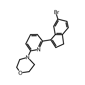 Brc1ccc2c(c1)C(c1cccc(N3CCOCC3)n1)=CC2